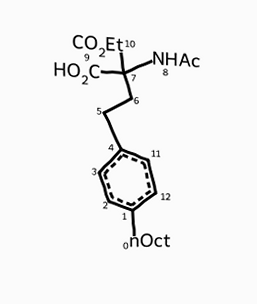 CCCCCCCCc1ccc(CCC(NC(C)=O)(C(=O)O)C(=O)OCC)cc1